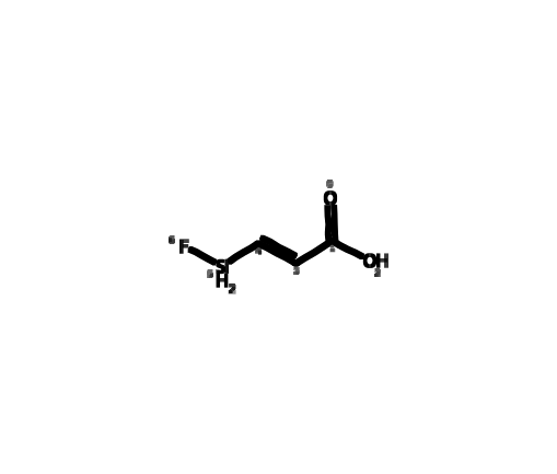 O=C(O)C=C[SiH2]F